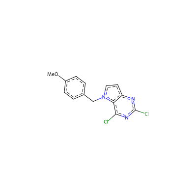 COc1ccc(Cn2ccc3nc(Cl)nc(Cl)c32)cc1